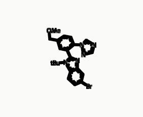 COCc1ccc(-n2cncn2)c(-c2nc3cc(Br)ccc3n2C(C)(C)C)c1